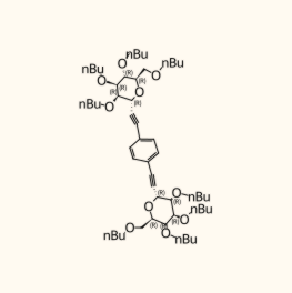 CCCCOC[C@H]1O[C@H](C#Cc2ccc(C#C[C@H]3O[C@H](COCCCC)[C@@H](OCCCC)[C@H](OCCCC)[C@@H]3OCCCC)cc2)[C@@H](OCCCC)[C@@H](OCCCC)[C@@H]1OCCCC